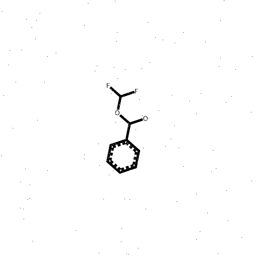 [O]C(OC(F)F)c1ccccc1